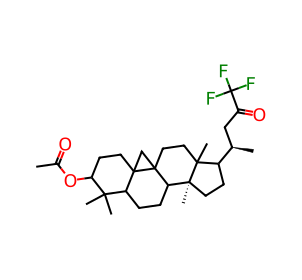 CC(=O)OC1CCC23CC24CCC2(C)C([C@H](C)CC(=O)C(F)(F)F)CC[C@@]2(C)C4CCC3C1(C)C